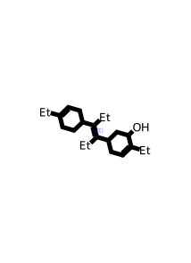 CCC1=CCC(/C(CC)=C(\CC)C2CC=C(CC)C(O)C2)CC1